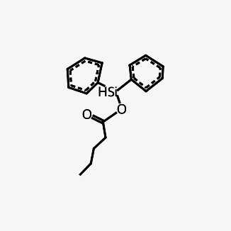 CCCCC(=O)O[SiH](c1ccccc1)c1ccccc1